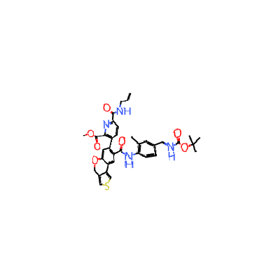 CCCNC(=O)c1ccc(-c2cc3c(cc2C(=O)Nc2ccc(CNC(=O)OC(C)(C)C)cc2C)-c2cscc2CO3)c(C(=O)OC)n1